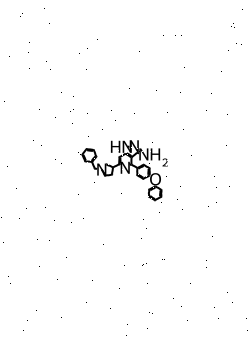 Nc1n[nH]c2cc(C3CCN(Cc4ccccc4)C3)nc(-c3ccc(Oc4ccccc4)cc3)c12